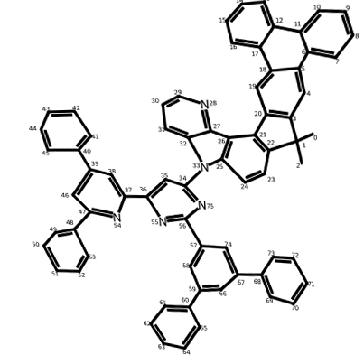 CC1(C)c2cc3c4ccccc4c4ccccc4c3cc2-c2c1ccc1c2c2ncccc2n1-c1cc(-c2cc(-c3ccccc3)cc(-c3ccccc3)n2)nc(-c2cc(-c3ccccc3)cc(-c3ccccc3)c2)n1